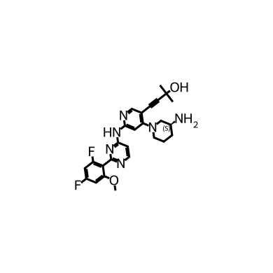 COc1cc(F)cc(F)c1-c1nccc(Nc2cc(N3CCC[C@H](N)C3)c(C#CC(C)(C)O)cn2)n1